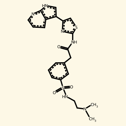 CN(C)CCNS(=O)(=O)c1cccc(CC(=O)Nc2nc(-c3c[nH]c4ncccc34)cs2)c1